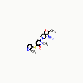 C[C@@H]1OCC2(CCN(c3ccc(Sc4cccnc4C(F)(F)F)c(=O)n3C)CC2)[C@@H]1N